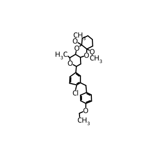 CCOc1ccc(Cc2cc(C3CC4OC5(OC)CCCCC5(OC)OC4C(C)O3)ccc2Cl)cc1